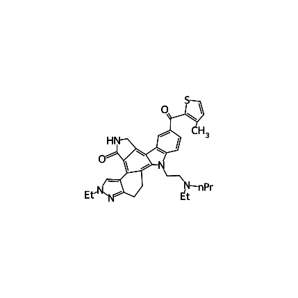 CCCN(CC)CCn1c2ccc(C(=O)c3sccc3C)cc2c2c3c(c4c(c21)CCc1nn(CC)cc1-4)C(=O)NC3